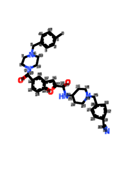 Cc1ccc(CN2CCN(C(=O)c3ccc4oc(C(=O)NC5CCN(Cc6ccc(C#N)cc6)CC5)cc4c3)CC2)cc1